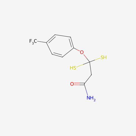 NC(=O)CC(S)(S)Oc1ccc(C(F)(F)F)cc1